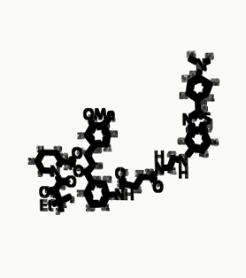 CCC(C)(C)C(=O)C(=O)N1CCCCC1C(=O)OC(CCc1ccc(C)c(OC)c1)c1cccc(NC(=O)CCC(=O)NCCNc2ccc3sc(-c4ccc(N(C)C)cc4)nc3c2)c1